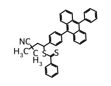 CC(C)(C#N)CC(SC(=S)c1ccccc1)c1ccc(-c2c3ccccc3c(-c3ccccc3)c3ccccc23)cc1